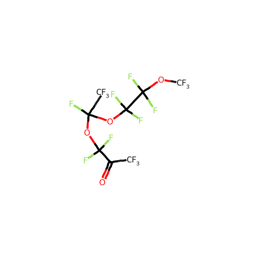 O=C(C(F)(F)F)C(F)(F)OC(F)(OC(F)(F)C(F)(F)OC(F)(F)F)C(F)(F)F